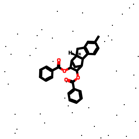 Cc1ccc2c(c1)C[C@H]1C3CC(C(OC(=O)c4ccccc4)C3OC(=O)c3ccccc3)C21